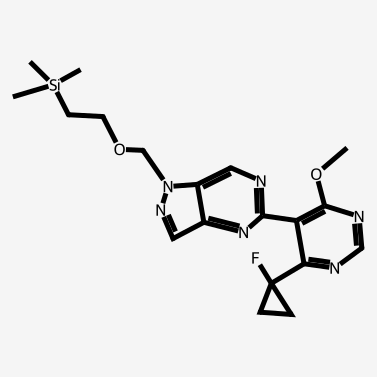 COc1ncnc(C2(F)CC2)c1-c1ncc2c(cnn2COCC[Si](C)(C)C)n1